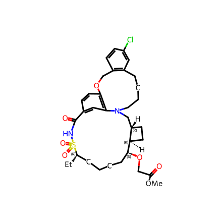 CC[C@@H]1CCCC[C@H](OCC(=O)OC)[C@@H]2CC[C@H]2CN2CCCCc3cc(Cl)ccc3COc3ccc(cc32)C(=O)NS1(=O)=O